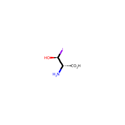 N[C@@H](C(=O)O)[C@@H](O)I